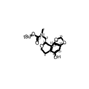 CN(C[C@@H]1OCCc2c(O)cc3c(c21)OCO3)C(=O)OC(C)(C)C